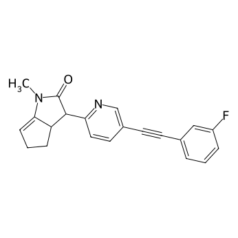 CN1C(=O)C(c2ccc(C#Cc3cccc(F)c3)cn2)C2CCC=C21